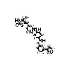 O=C1NC(O)/C(=C/c2ccnc(N[C@H]3CC[C@H](NCc4cccc(-c5ccoc5)n4)CC3)n2)S1